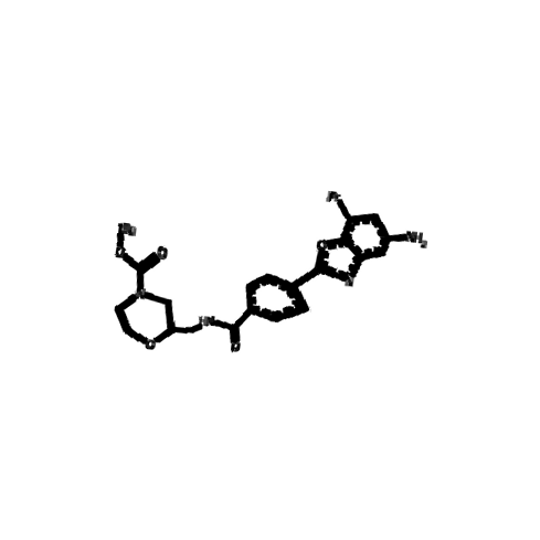 CC(C)c1cc(N)cc2nc(-c3ccc(C(=O)NCC4CN(C(=O)OC(C)(C)C)CCO4)cc3)oc12